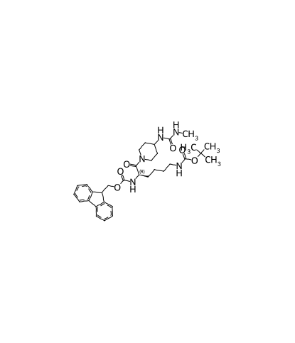 CNC(=O)NC1CCN(C(=O)[C@@H](CCCCNC(=O)OC(C)(C)C)NC(=O)OCC2c3ccccc3-c3ccccc32)CC1